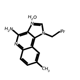 Cc1ccc2nc(N)c3ncn(CC(C)C)c3c2c1.O